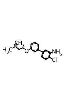 CN(C)CCOc1cccc(-c2ccc(Cl)c(N)c2)c1